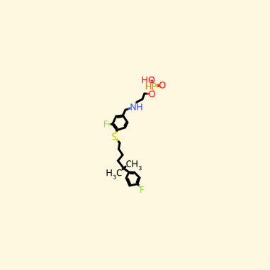 CC(C)(CCCCSc1ccc(CNCCCO[PH](=O)O)cc1F)c1ccc(F)cc1